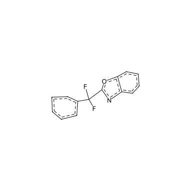 FC(F)(c1ccccc1)c1nc2ccccc2o1